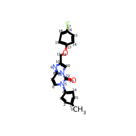 Cc1ccc(-n2ccc3nc(COc4ccc(F)cc4)cn3c2=O)cc1